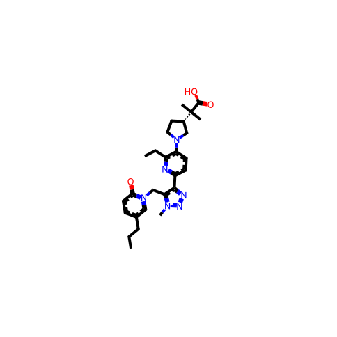 CCCc1ccc(=O)n(Cc2c(-c3ccc(N4CC[C@H](C(C)(C)C(=O)O)C4)c(CC)n3)nnn2C)c1